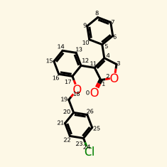 O=C1OCC(c2ccccc2)=C1c1ccccc1OCc1ccc(Cl)cc1